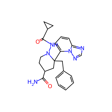 NC(=O)C1CCN(NC(=O)C2CC2)C(Cc2ccccc2)(c2cccc3ncnn23)C1